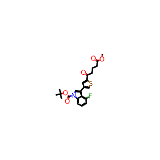 COC(=O)CCCC(=O)c1cc(-c2cn(C(=O)OC(C)(C)C)c3cccc(F)c23)cs1